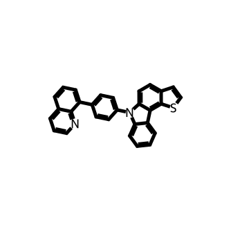 c1cnc2c(-c3ccc(-n4c5ccccc5c5c6sccc6ccc54)cc3)cccc2c1